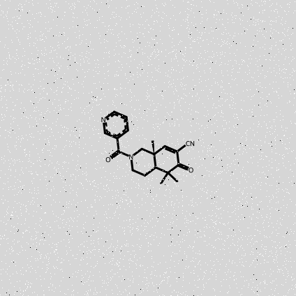 CC1(C)C(=O)C(C#N)=C[C@@]2(C)CN(C(=O)c3cccnc3)CCC12